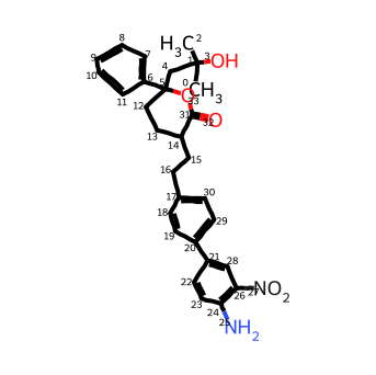 CC(C)(O)CC1(c2ccccc2)CCC(CCc2ccc(-c3ccc(N)c([N+](=O)[O-])c3)cc2)C(=O)O1